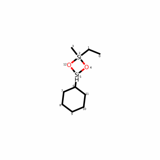 CC[Si]1(C)O[SiH](C2CCCCC2)O1